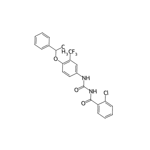 CC(Oc1ccc(NC(=O)NC(=O)c2ccccc2Cl)cc1C(F)(F)F)c1ccccc1